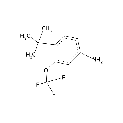 CC(C)(C)c1ccc(N)cc1OC(F)(F)F